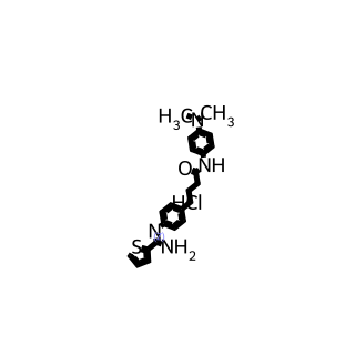 CN(C)c1ccc(NC(=O)CCCc2ccc(/N=C(\N)c3cccs3)cc2)cc1.Cl